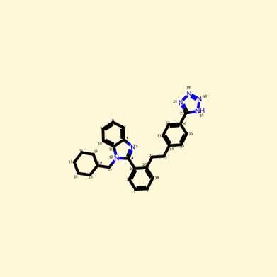 c1ccc(-c2nc3ccccc3n2CC2CCCCC2)c(CCc2ccc(-c3nnn[nH]3)cc2)c1